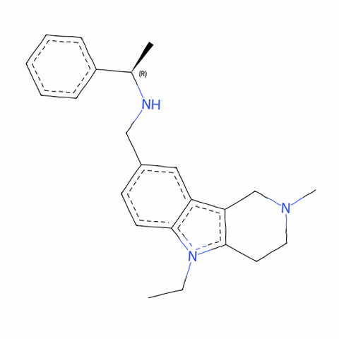 CCn1c2c(c3cc(CN[C@H](C)c4ccccc4)ccc31)CN(C)CC2